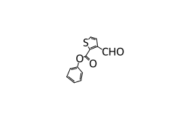 O=Cc1ccsc1C(=O)Oc1ccccc1